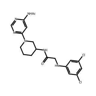 CC(=O)Nc1cc(N2CCCC(NC(=O)CNc3cc(Cl)cc(Cl)c3)C2)ncn1